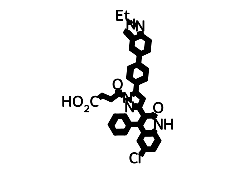 CCn1cc2cc(-c3ccc(C4CC(c5c(-c6ccccc6)c6cc(Cl)ccc6[nH]c5=O)=NN4C(=O)CCC(=O)O)cc3)ccc2n1